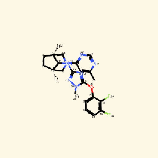 Cc1cc(N2C[C@H]3CC[C@@H](C2)C3Nc2nc(Oc3cccc(F)c3F)n(C(C)C)n2)ncn1